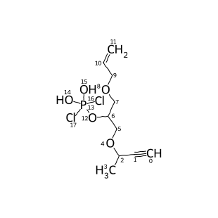 C#CC(C)OCC(COCC=C)OP(O)(O)(Cl)Cl